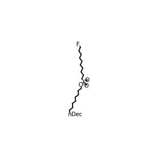 CCCCCCCCCCCCCCCCCCOS(=O)(=O)CCCCCCCCCCF